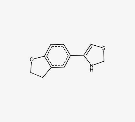 C1=C(c2ccc3c(c2)CCO3)NCS1